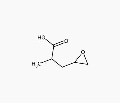 CC(CC1CO1)C(=O)O